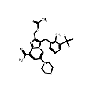 CC(=O)OCc1nc2c(C(C)=O)cc(N3CCOCC3)nn2c1Cc1cccc(C(F)(F)F)c1C